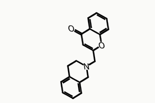 O=c1cc(CN2CCc3ccccc3C2)oc2ccccc12